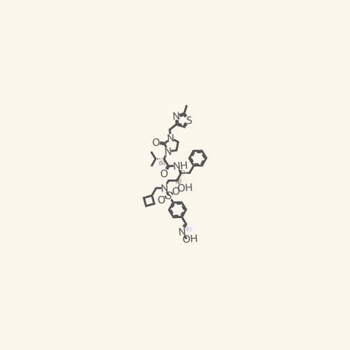 Cc1nc(CN2CCN([C@H](C(=O)N[C@@H](Cc3ccccc3)[C@H](O)CN(CC3CCC3)S(=O)(=O)c3ccc(/C=N/O)cc3)C(C)C)C2=O)cs1